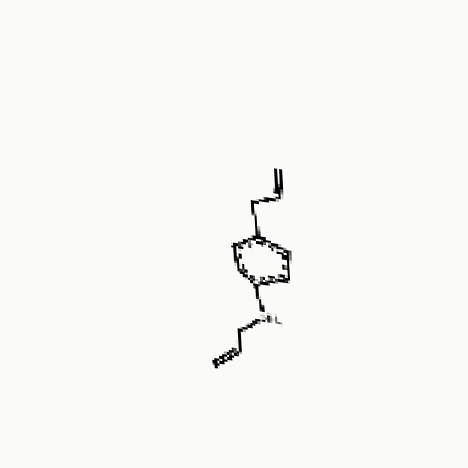 C=CC[SiH2]c1ccc(CC=C)cc1